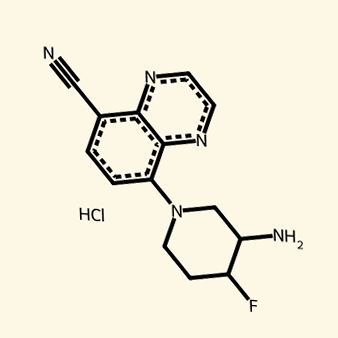 Cl.N#Cc1ccc(N2CCC(F)C(N)C2)c2nccnc12